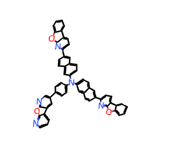 c1ccc2c(c1)oc1nc(-c3ccc4cc(N(c5ccc(-c6cnc7oc8ncccc8c7c6)cc5)c5ccc6cc(-c7ccc8c(n7)oc7ccccc78)ccc6c5)ccc4c3)ccc12